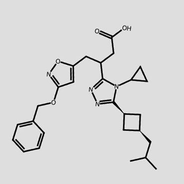 CC(C)C[C@H]1C[C@@H](c2nnc(C(CC(=O)O)Cc3cc(OCc4ccccc4)no3)n2C2CC2)C1